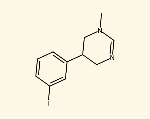 CN1C=NCC(c2cccc(I)c2)C1